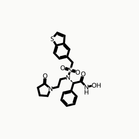 O=C(NO)[C@H](c1ccccc1)N(CCN1CCCC1=O)S(=O)(=O)Cc1ccc2sccc2c1